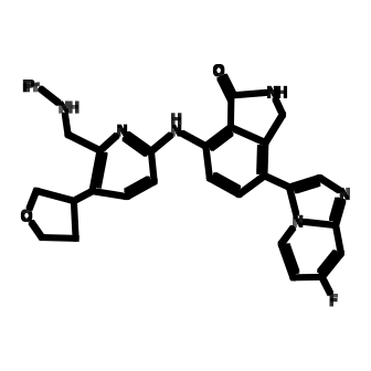 CC(C)NCc1nc(Nc2ccc(-c3cnc4cc(F)ccn34)c3c2C(=O)NC3)ccc1C1CCOC1